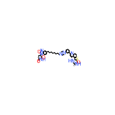 C[C@@H]1CNc2c(sc3ccc4nc(-c5cccc(N6CCN(CCCCCCCCc7ccc8c(c7)n(C)c(=O)n8C7CCC(=O)NC7=O)CC6)c5)ccc4c23)C(=O)N1